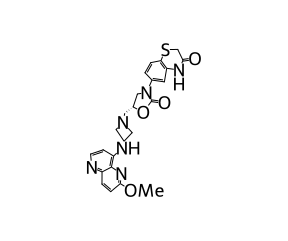 COc1ccc2nccc(NC3CN(C[C@@H]4CN(c5ccc6c(c5)NC(=O)CS6)C(=O)O4)C3)c2n1